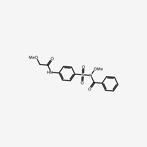 COCC(=O)Nc1ccc(S(=O)(=O)N(OC)C(=O)c2ccccc2)cc1